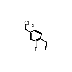 CCc1ccc(CF)c(F)c1